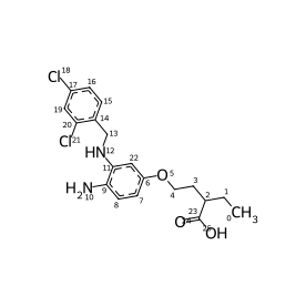 CCC(CCOc1ccc(N)c(NCc2ccc(Cl)cc2Cl)c1)C(=O)O